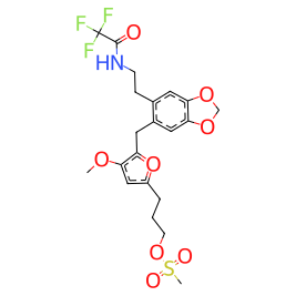 COc1cc(CCCOS(C)(=O)=O)oc1Cc1cc2c(cc1CCNC(=O)C(F)(F)F)OCO2